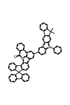 CC1(C)c2ccccc2-c2cc3c4cc(-c5cc6c7ccccc7c(=O)n7c8c9c(ccc8c(c5)c67)C5(c6ccccc6-c6ccccc65)c5ccccc5-9)ccc4n(-c4ccccc4)c3cc21